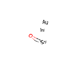 [Au].[In].[O]=[Sn]